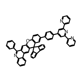 c1ccc(-c2nc3ccccc3c3cc4c(cc23)Oc2ccc(-c3ccc(-c5cc(-c6ccccn6)nc(-c6ccccn6)c5)cc3)cc2C42c3ccccc3-c3ccccc32)cc1